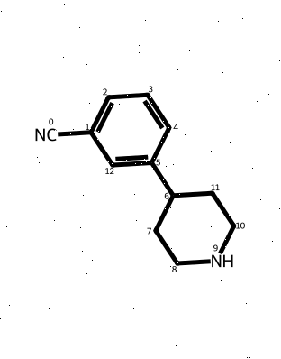 N#Cc1cc[c]c(C2CCNCC2)c1